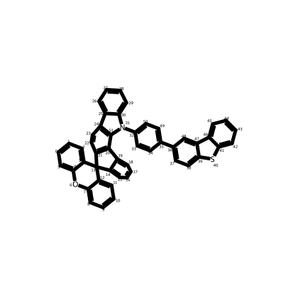 c1ccc2c(c1)Oc1ccccc1C21c2ccccc2-c2c1ccc1c3ccccc3n(-c3ccc(-c4ccc5sc6ccccc6c5c4)cc3)c21